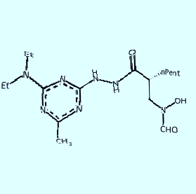 CCCCC[C@H](CN(O)C=O)C(=O)NNc1nc(C)nc(N(CC)CC)n1